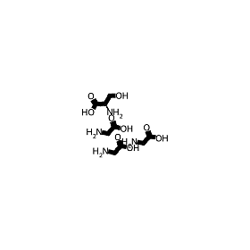 NCC(=O)O.NCC(=O)O.NCC(=O)O.N[C@@H](CO)C(=O)O